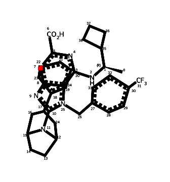 C[C@@H](Nc1nc(C(=O)O)nc2nc(N3C4CCC3CC(c3ccccc3)C4)n(Cc3ccc(C(F)(F)F)cc3)c12)C1CCC1